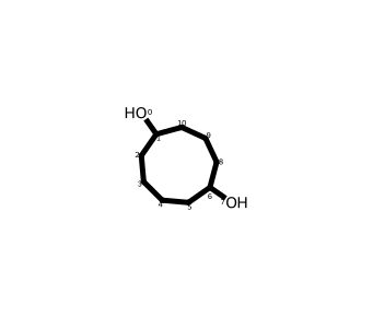 OC1CCCCC(O)CCC1